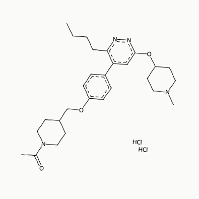 CCCCc1nnc(OC2CCN(C)CC2)cc1-c1ccc(OCC2CCN(C(C)=O)CC2)cc1.Cl.Cl